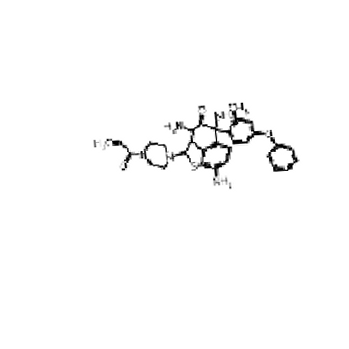 C=CC(=O)N1CCN(C2Sc3c(N)ccc4c3C2C(N)C(=O)C4(N)c2ccc(Oc3ccccc3)cc2C)CC1